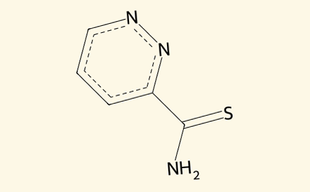 NC(=S)c1cccnn1